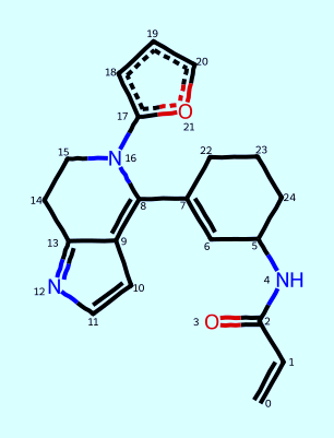 C=CC(=O)NC1C=C(C2=C3C=CN=C3CCN2c2ccco2)CCC1